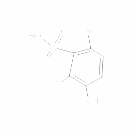 O=S(=O)(O)c1c(Br)ccc(O)c1F